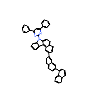 c1ccc(-c2cc(-c3ccccc3)nc(-n3c4ccccc4c4c5cc(-c6ccc7ccc(-c8cccc9ccccc89)cc7c6)ccc5ccc43)n2)cc1